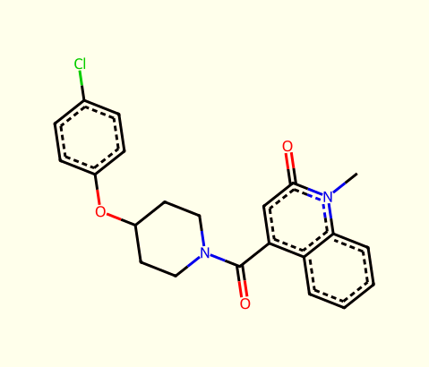 Cn1c(=O)cc(C(=O)N2CCC(Oc3ccc(Cl)cc3)CC2)c2ccccc21